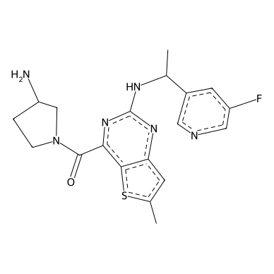 Cc1cc2nc(NC(C)c3cncc(F)c3)nc(C(=O)N3CCC(N)C3)c2s1